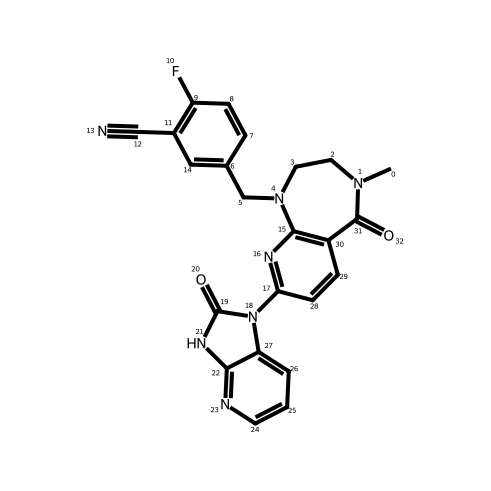 CN1CCN(Cc2ccc(F)c(C#N)c2)c2nc(-n3c(=O)[nH]c4ncccc43)ccc2C1=O